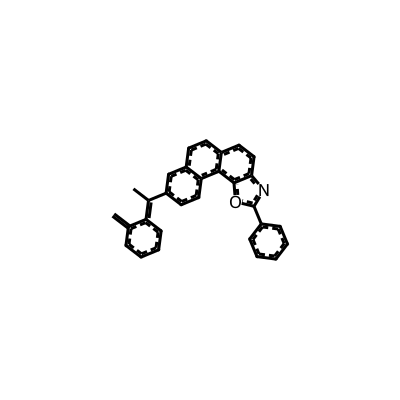 C=c1cccc/c1=C(/C)c1ccc2c(ccc3ccc4nc(-c5ccccc5)oc4c32)c1